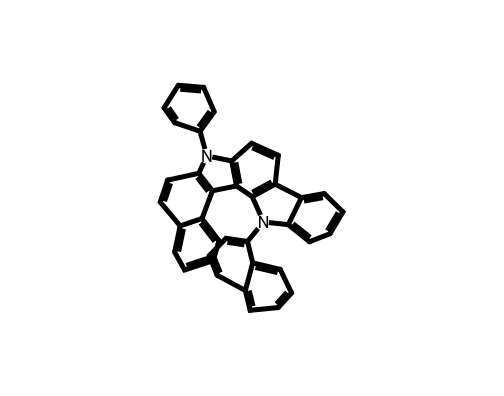 c1ccc(-n2c3ccc4ccccc4c3c3c2ccc2c4ccccc4n(-c4cccc5ccccc45)c23)cc1